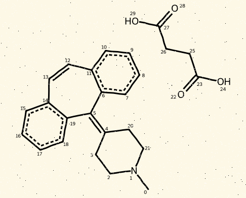 CN1CCC(=C2c3ccccc3C=Cc3ccccc32)CC1.O=C(O)CCC(=O)O